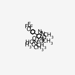 Cn1cnc2c(-c3ccc(OC(F)(F)F)cc3)cc(CN(C(=O)O)C(C)(C)C)c(S(C)(=O)=O)c21